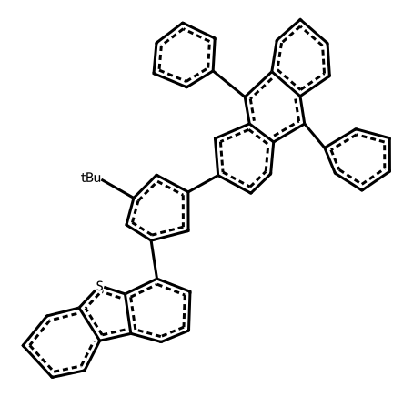 CC(C)(C)c1cc(-c2ccc3c(-c4ccccc4)c4ccccc4c(-c4ccccc4)c3c2)cc(-c2cccc3c2sc2ccccc23)c1